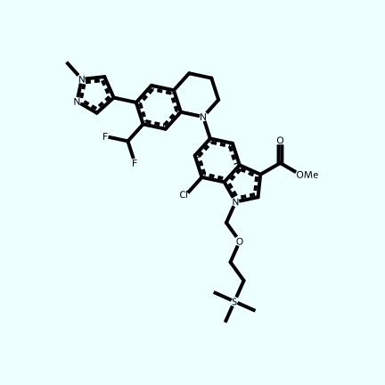 COC(=O)c1cn(COCCS(C)(C)C)c2c(Cl)cc(N3CCCc4cc(-c5cnn(C)c5)c(C(F)F)cc43)cc12